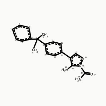 CC(C)(c1ccccc1)c1ccc(-c2cnn(C(N)=O)c2N)cc1